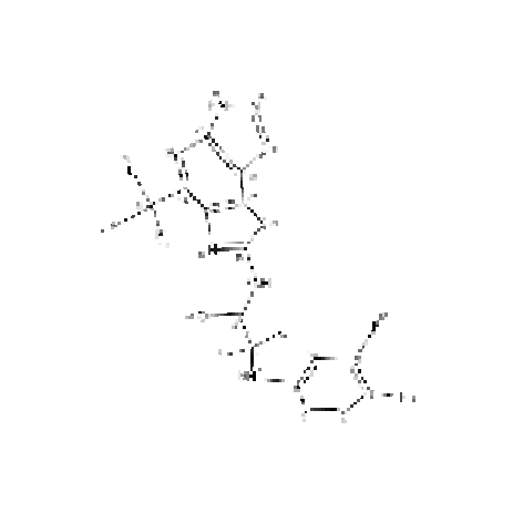 CC(C)(Nc1ccc(F)c(F)c1)C(=O)Nc1nc2c(C(F)(F)F)cc3[nH]ncc3c2s1